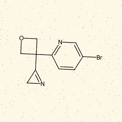 Brc1ccc(C2(C3=NC3)COC2)nc1